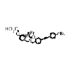 CCCCc1ccc(C#Cc2ccc(CN(Cc3ccc(OCC(=O)O)cc3)C(=O)NCCC)cc2)cc1